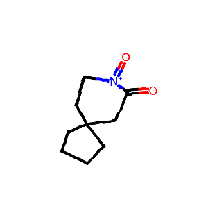 O=C1CC2(CCCC2)CC[N+]1=O